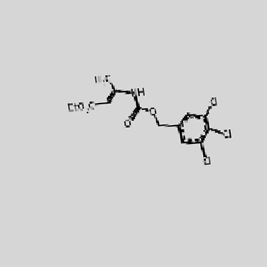 CCOC(=O)C=C(C)NC(=O)OCc1cc(Cl)c(Cl)c(Cl)c1